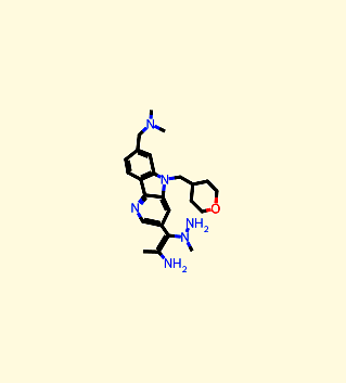 C/C(N)=C(\c1cnc2c3ccc(CN(C)C)cc3n(CC3CCOCC3)c2c1)N(C)N